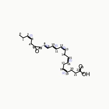 CC/C=C\C[C@@H]1O[C@H]1/C=C/C=C/C=C\C/C=C\C/C=C\CCC(=O)O